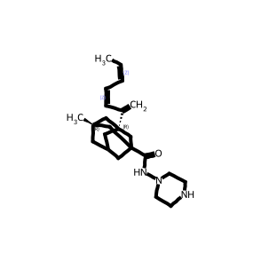 C=C(/C=C\C=C/C)[C@]12CC3CC(C(=O)NN4CCNCC4)(C[C@](C)(C3)C1)C2